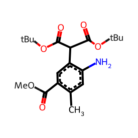 COC(=O)c1cc(C(C(=O)OC(C)(C)C)C(=O)OC(C)(C)C)c(N)cc1C